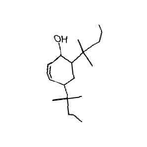 CCC(C)(C)C1C=CC(O)C(C(C)(C)CC)C1